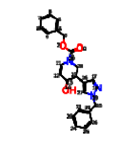 O=C(OCc1ccccc1)N1C=CC(O)C(c2cnn(Cc3ccccc3)c2)C1